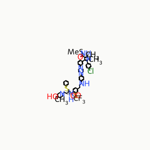 CSNC(=O)c1c(-c2cccc(N3CCN(c4ccc(NCCc5ccc(N[C@@H](CCN6CCC(C)(O)CC6)CSc6ccccc6)c(S(=O)(=O)C(F)(F)F)c5)cc4)CC3)c2)c(-c2ccc(Cl)cc2)n(C)c1C